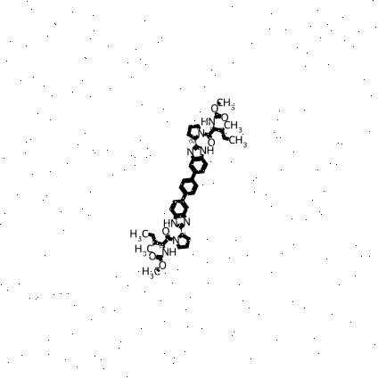 CC[C@H](C)[C@H](NC(=O)OC)C(=O)N1CCC[C@H]1c1nc2cc(-c3ccc(-c4ccc5[nH]c([C@@H]6CCCN6C(=O)[C@@H](NC(=O)OC)[C@@H](C)CC)nc5c4)cc3)ccc2[nH]1